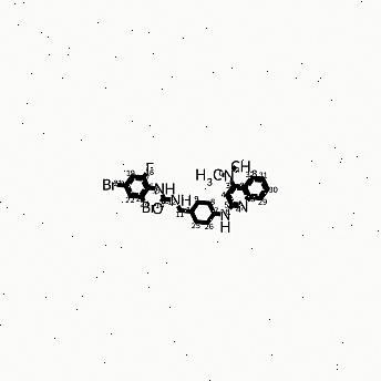 CN(C)c1cc(NC2CCC(CNC(=O)Nc3c(F)cc(Br)cc3Br)CC2)nc2ccccc12